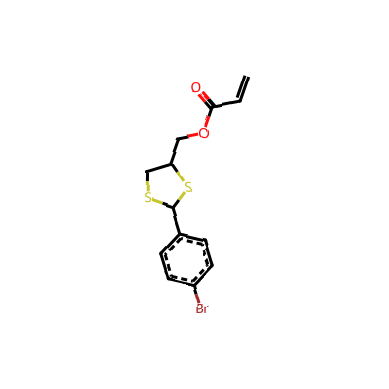 C=CC(=O)OCC1CSC(c2ccc(Br)cc2)S1